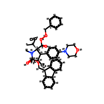 CC(C=O)[C@](C(=O)OOCc1ccccc1)(C(c1ccc(N2CCOCC2)cc1)C(C(F)(F)F)C(F)(F)F)N(C)C(=O)OCC1c2ccccc2-c2ccccc21